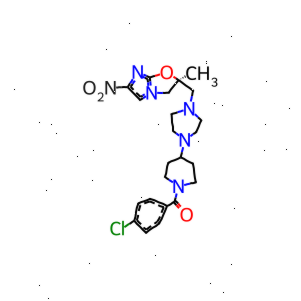 C[C@]1(CN2CCN(C3CCN(C(=O)c4ccc(Cl)cc4)CC3)CC2)Cn2cc([N+](=O)[O-])nc2O1